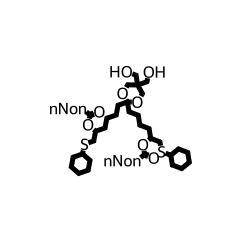 CCCCCCCCCC(=O)OC(CCCCC1(CCCCC(CSC2CCCCC2)OC(=O)CCCCCCCCC)OCC(CO)(CO)CO1)CSC1CCCCC1